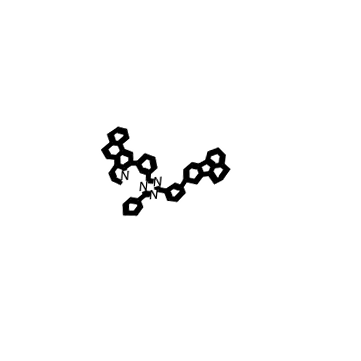 c1ccc(-c2nc(-c3cccc(-c4ccc5c(c4)-c4cccc6cccc-5c46)c3)nc(-c3cccc(-c4cc5c6ccccc6ccc5c5cccnc45)c3)n2)cc1